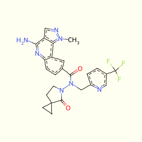 Cn1ncc2c(N)nc3ccc(C(=O)N(Cc4ccc(C(F)(F)F)cn4)N4CCC5(CC5)C4=O)cc3c21